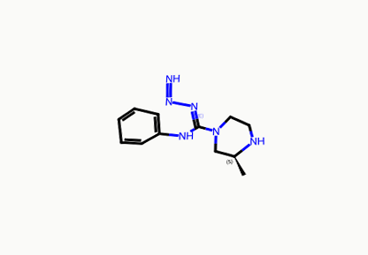 C[C@H]1CN(/C(=N/N=N)Nc2ccccc2)CCN1